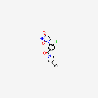 [CH2]CCC1CCN(C(=O)c2ccc(Cl)c(N3CCC(=O)NC3=O)c2)CC1